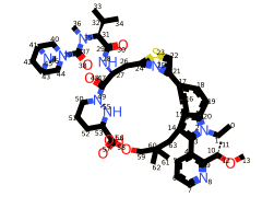 CCn1c(-c2cccnc2[C@H](C)OC)c2c3cc(ccc31)-c1csc(n1)C[C@H](NC(=O)[C@H](C(C)C)N(C)C(=O)N1CC3CC(C1)N3C)C(=O)N1CCC[C@@](O)(N1)C(=O)OCC(C)(C)C2